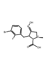 C[C@@H]1CC(=NO)C(Cc2cccc(Br)c2F)N1C(=O)O